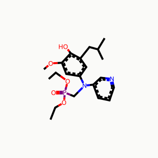 CCOP(=O)(CN(c1cccnc1)c1cc(CC(C)C)c(O)c(OC)c1)OCC